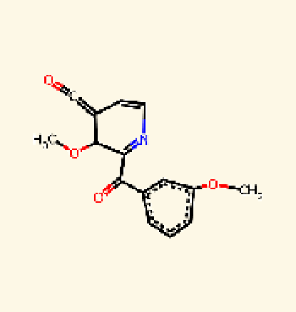 COc1cccc(C(=O)C2=NC=CC(=C=O)C2OC)c1